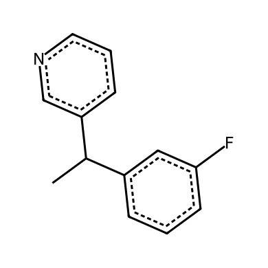 CC(c1cccnc1)c1cccc(F)c1